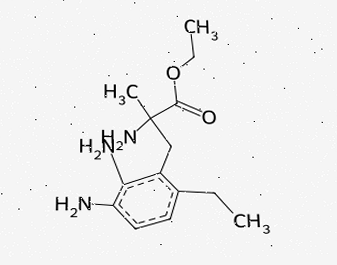 CCOC(=O)C(C)(N)Cc1c(CC)ccc(N)c1N